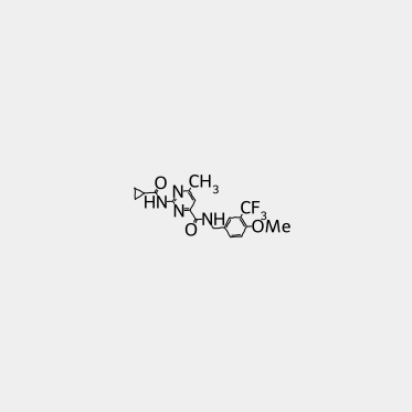 COc1ccc(CNC(=O)c2cc(C)nc(NC(=O)C3CC3)n2)cc1C(F)(F)F